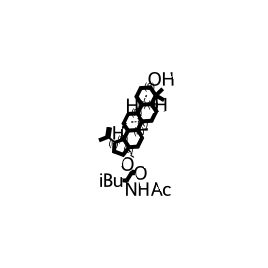 C=C(C)[C@@H]1CC[C@]2(COC(=O)C(NC(C)=O)C(C)CC)CC[C@]3(C)C(CC[C@@H]4[C@@]5(C)CC[C@H](O)C(C)(C)[C@@H]5CC[C@]43C)[C@@H]12